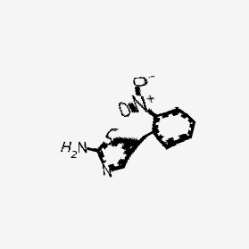 Nc1ncc(-c2ccccc2[N+](=O)[O-])s1